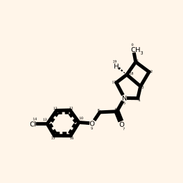 CC1CC2CN(C(=O)COc3ccc(Cl)cc3)C[C@@H]12